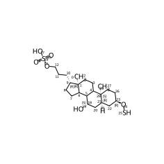 C[C@]12CCC3C(C1CC[C@@H]2CCCOS(=O)(=O)O)[C@@H](O)C[C@@H]1C[C@H](OS)CC[C@]31C